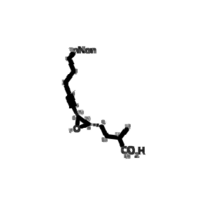 CCCCCCCCCCCCC#C[C@@H]1O[C@H]1CCC(C)C(=O)O